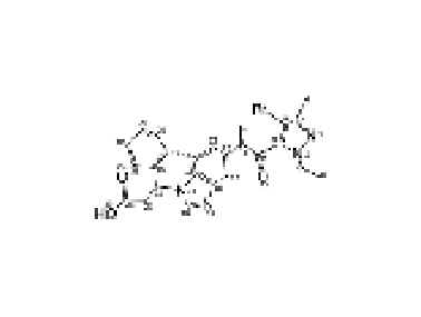 CCn1nc(C)c(Br)c1C(=O)Nc1ccc2c(c1)ncn2C(CC(=O)O)c1ccccc1